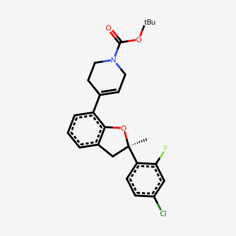 CC(C)(C)OC(=O)N1CC=C(c2cccc3c2O[C@@](C)(c2ccc(Cl)cc2F)C3)CC1